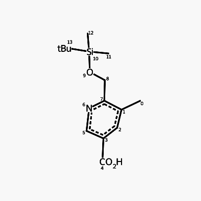 Cc1cc(C(=O)O)cnc1CO[Si](C)(C)C(C)(C)C